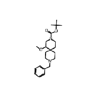 COC1CN(C(=O)OC(C)(C)C)CCC12CCN(Cc1ccccc1)CC2